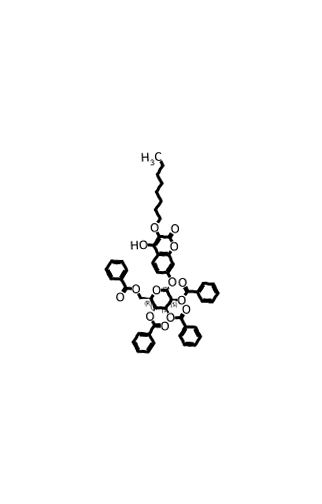 CCCCCCCCOc1c(O)c2ccc(O[C@H]3O[C@H](COC(=O)c4ccccc4)[C@@H](OC(=O)c4ccccc4)[C@H](OC(=O)c4ccccc4)[C@@H]3OC(=O)c3ccccc3)cc2oc1=O